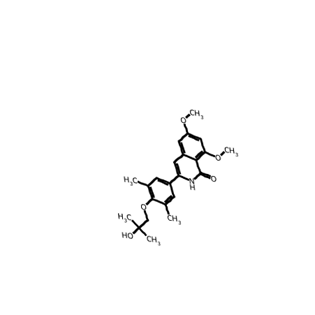 COc1cc(OC)c2c(=O)[nH]c(-c3cc(C)c(OCC(C)(C)O)c(C)c3)cc2c1